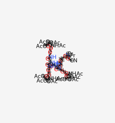 CC(=O)NC1C(OCCOCCNC(=O)CC[C@H](NC(=O)CC[C@H](NC(=O)C(C)(C)COC(C)(C)CCOP(OCCC#N)N(C(C)C)C(C)C)C(=O)NCCOCCOC2OC(COC(C)=O)C(OC(C)=O)C(OC(C)=O)C2NC(C)=O)C(=O)NCCOCCOC2OC(COC(C)=O)C(OC(C)=O)C(OC(C)=O)C2NC(C)=O)OC(COC(C)=O)C(OC(C)=O)C1OC(C)=O